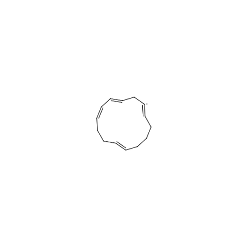 [C]1=C/CCC/C=C/CC/C=C\C=C\C/1